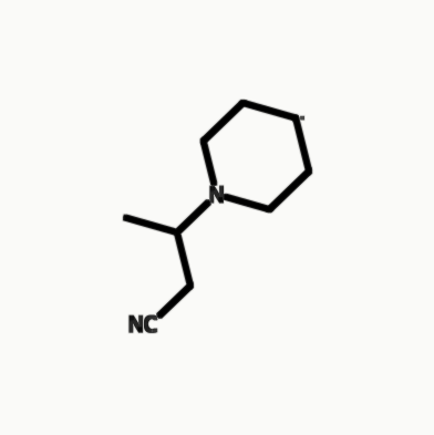 CC(CC#N)N1CC[CH]CC1